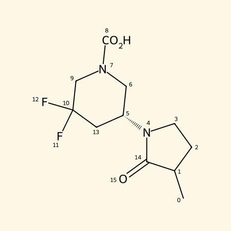 CC1CCN([C@H]2CN(C(=O)O)CC(F)(F)C2)C1=O